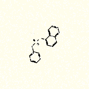 O=S(=O)(Cc1ccccc1)Oc1cccc2ccccc12.[NaH]